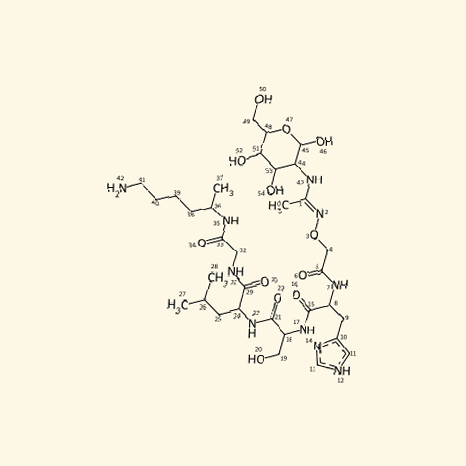 C/C(=N\OCC(=O)NC(Cc1c[nH]cn1)C(=O)NC(CO)C(=O)NC(CC(C)C)C(=O)NCC(=O)NC(C)CCCCN)NC1C(O)OC(CO)C(O)C1O